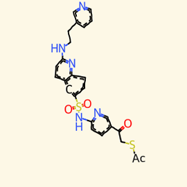 CC(=O)SCC(=O)c1ccc(NS(=O)(=O)c2ccc3nc(NCCc4cccnc4)ccc3c2)nc1